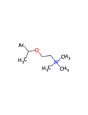 CC(=O)C(C)OCC[N+](C)(C)C